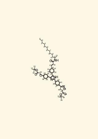 CCCCCCCCCCCC(C)NC(=O)C=Cc1ccc(-c2[nH]c(-c3ccc(C4=NOC(C(=O)OC(C)(C)C)C4)cc3)nc2-c2ccc(OCC(=O)OC(C)(C)C)cc2)cc1